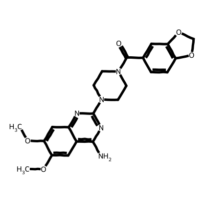 COc1cc2nc(N3CCN(C(=O)c4ccc5c(c4)OCO5)CC3)nc(N)c2cc1OC